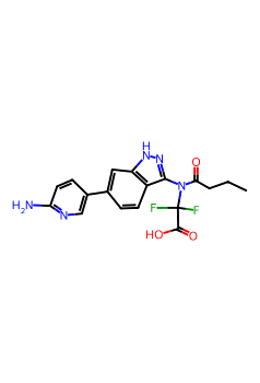 CCCC(=O)N(c1n[nH]c2cc(-c3ccc(N)nc3)ccc12)C(F)(F)C(=O)O